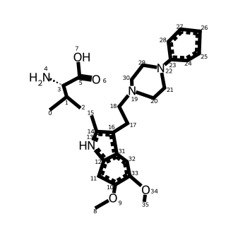 CC(C)[C@H](N)C(=O)O.COc1cc2[nH]c(C)c(CCN3CCN(c4ccccc4)CC3)c2cc1OC